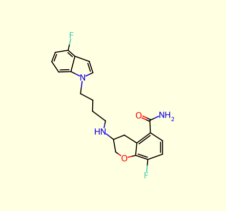 NC(=O)c1ccc(F)c2c1CC(NCCCCn1ccc3c(F)cccc31)CO2